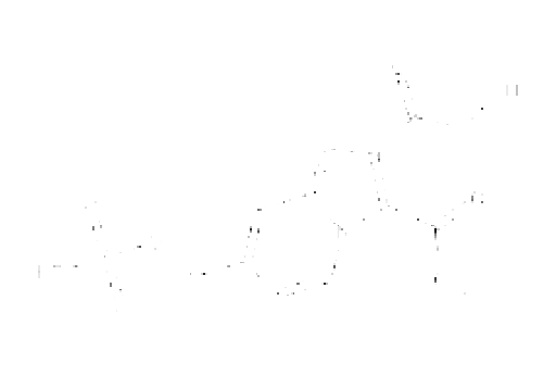 COC(=O)c1cc2cc(COS(C)(=O)=O)ccn2c1C(C)=O